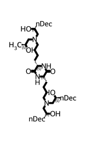 CCCCCCCCCC[C@@H](O)CN(CCCC[C@@H]1NC(=O)[C@H](CCCCN(C[C@H](O)CCCCCCCCCC)C[C@H](C)O)NC1=O)C[C@@H](O)CCCCCCCCCC